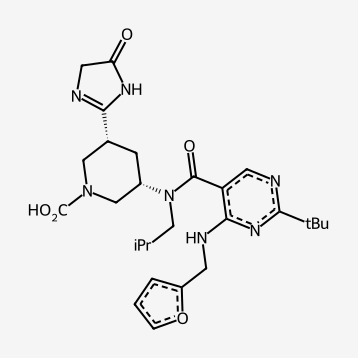 CC(C)CN(C(=O)c1cnc(C(C)(C)C)nc1NCc1ccco1)[C@H]1C[C@@H](C2=NCC(=O)N2)CN(C(=O)O)C1